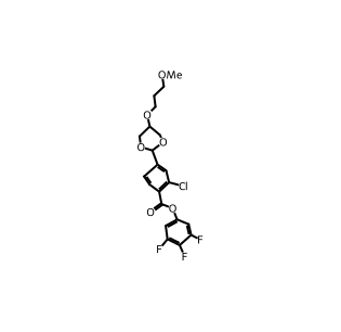 COCCCOC1COC(c2ccc(C(=O)Oc3cc(F)c(F)c(F)c3)c(Cl)c2)OC1